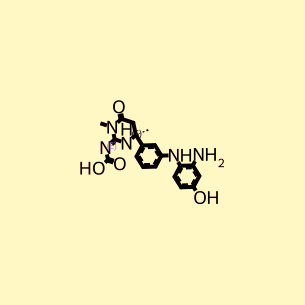 CN1C(=O)C[C@@](C)(c2cccc(Nc3ccc(O)cc3N)c2)N/C1=N\C(=O)O